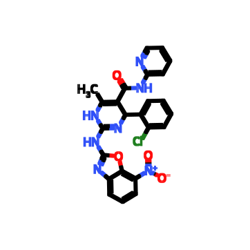 CC1=C(C(=O)Nc2ccccn2)C(c2ccccc2Cl)N=C(Nc2nc3cccc([N+](=O)[O-])c3o2)N1